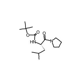 CC(C)C[C@H](NC(=O)OC(C)(C)C)C(=O)N1CCCC1